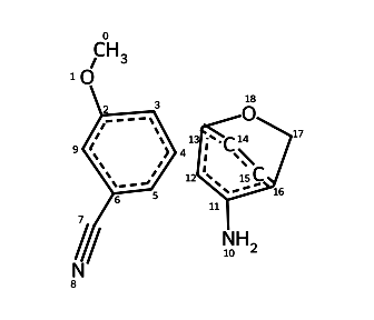 COc1cccc(C#N)c1.Nc1cc2ccc1CO2